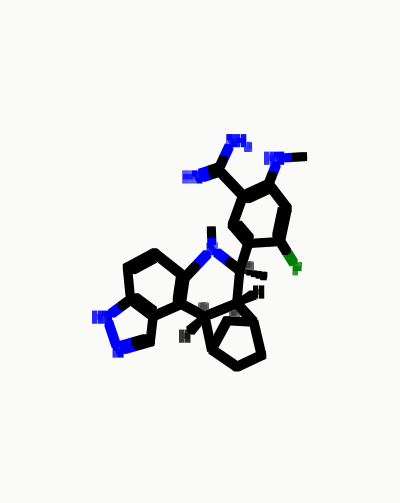 CNc1cc(F)c([C@@]2(C)[C@@H]3C4CCC(C4)[C@@H]3c3c(ccc4[nH]ncc34)N2C)cc1C(=N)N